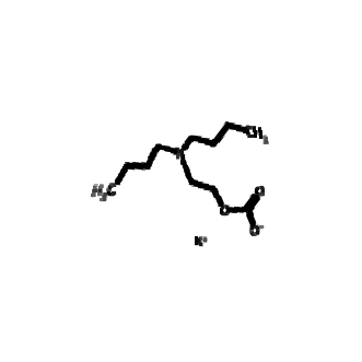 CCCCN(CCCC)CCOC(=O)[O-].[K+]